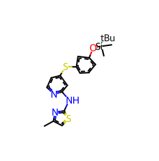 Cc1csc(Nc2cc(Sc3cccc(O[Si](C)(C)C(C)(C)C)c3)ccn2)n1